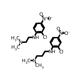 CN(C)CCCNc1ccc([N+](=O)[O-])cc1Cl.CN(C)CCNc1ccc([N+](=O)[O-])cc1Cl